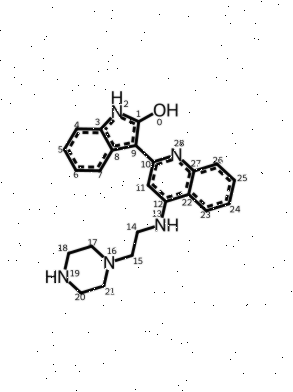 Oc1[nH]c2ccccc2c1-c1cc(NCCN2CCNCC2)c2ccccc2n1